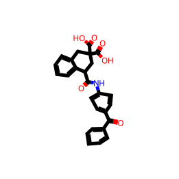 O=C(c1ccccc1)c1ccc(NC(=O)C2CC(C(=O)O)(C(=O)O)Cc3ccccc32)cc1